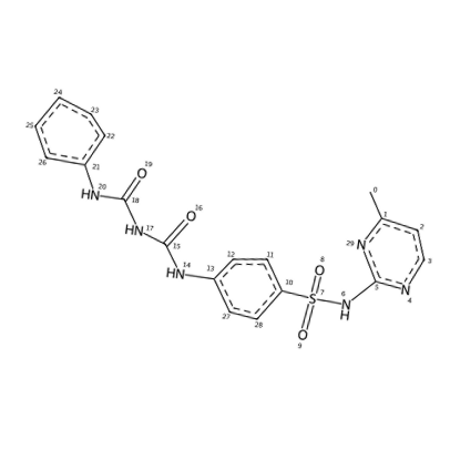 Cc1ccnc(NS(=O)(=O)c2ccc(NC(=O)NC(=O)Nc3ccccc3)cc2)n1